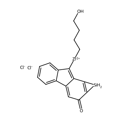 O=C1C=C2C(=[C]([Zr+2][CH2]CCCO)c3ccccc32)C2=C1[SiH2]2.[Cl-].[Cl-]